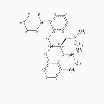 Cc1cccc(CN(Cc2ccccc2N2CCOCC2)[C@@H](CC(C)C)CN(C)C)c1